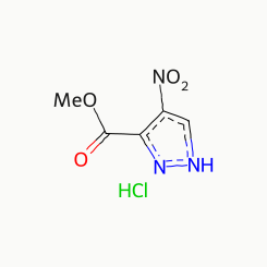 COC(=O)c1n[nH]cc1[N+](=O)[O-].Cl